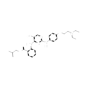 CCN(CC)CCOc1ccc(Nc2ncc(Br)c(Nc3ccccc3C(=O)OCC(C)C)n2)cc1